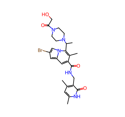 Cc1cc(C)c(CNC(=O)c2cc3cc(Br)cn3c(C(C)N3CCN(C(=O)CO)CC3)c2C)c(=O)[nH]1